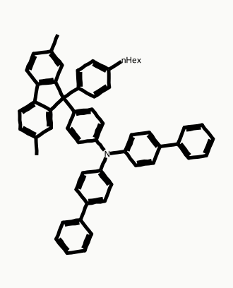 CCCCCCc1ccc(C2(c3ccc(N(c4ccc(-c5ccccc5)cc4)c4ccc(-c5ccccc5)cc4)cc3)c3cc(C)ccc3-c3ccc(C)cc32)cc1